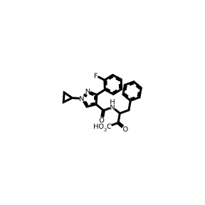 O=C(O)C(=O)C(Cc1ccccc1)NC(=O)c1cn(C2CC2)nc1-c1ccccc1F